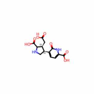 O=C(O)C[C@@H]1C(C(=O)O)NC[C@@H]1c1ccc(C(=O)O)[nH]c1=O